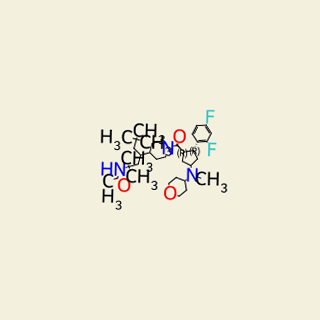 CC(=O)NC(C)(C)CC(CC(C)(C)C)C1CCN(C(=O)[C@@H]2CC(N(C)C3CCOCC3)C[C@H]2c2ccc(F)cc2F)CC1